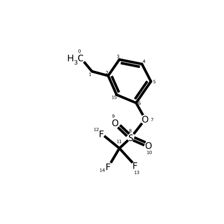 CCc1cccc(OS(=O)(=O)C(F)(F)F)c1